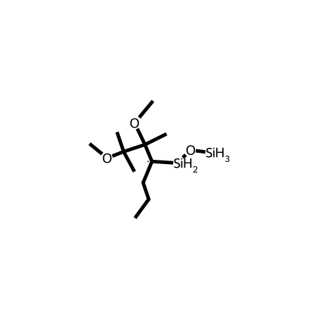 CCC[C]([SiH2]O[SiH3])C(C)(OC)C(C)(C)OC